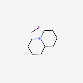 C1CCN2CCCCC2C1.CI